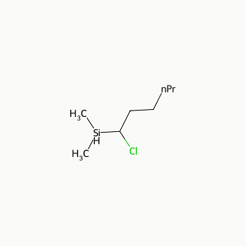 CCCCCC(Cl)[SiH](C)C